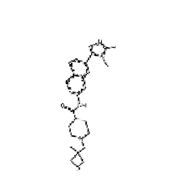 Cc1ncc(-c2ccc3cnc(NC(=O)C4CCN(CC5(C)COC5)CC4)cc3c2)n1C